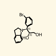 OC[C@@H](O)[C@H](c1cccc(Br)c1)N1CCc2ccccc21